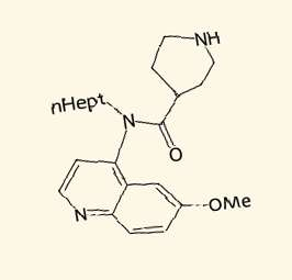 CCCCCCCN(C(=O)C1CCNCC1)c1ccnc2ccc(OC)cc12